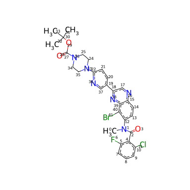 CN(C(=O)c1c(F)cccc1Cl)c1ccc2ncc(-c3ccc(N4CCN(C(=O)OC(C)(C)C)CC4)nc3)nc2c1Br